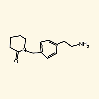 NCCc1ccc(CN2CCCCC2=O)cc1